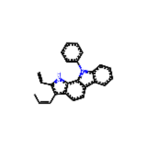 C=Cc1[nH]c2c(ccc3c4ccccc4n(-c4ccccc4)c32)c1/C=C\C